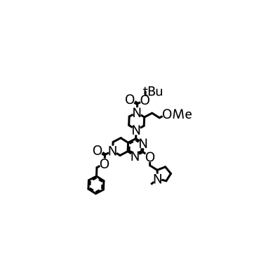 COCCC1CN(c2nc(OCC3CCCN3C)nc3c2CCN(C(=O)OCc2ccccc2)C3)CCN1C(=O)OC(C)(C)C